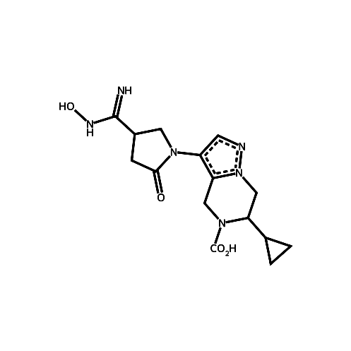 N=C(NO)C1CC(=O)N(c2cnn3c2CN(C(=O)O)C(C2CC2)C3)C1